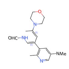 CNc1cnc(C)c(C(=C/NC=O)/C=C(\C)N2CCOCC2)c1